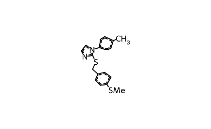 CSc1ccc(CSc2nccn2-c2ccc(C)cc2)cc1